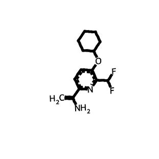 C=C(N)c1ccc(OC2CCCCC2)c(C(F)F)n1